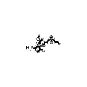 CCCCS(=O)(=O)CCCCn1c(C(C)OC)nc2c(N)ncc(C)c21